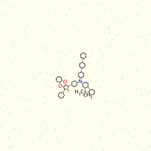 CC1(C)c2ccccc2-c2ccc(N(c3ccc(-c4ccc(-c5ccccc5)cc4)cc3)c3ccc(-c4sc(-c5ccccc5)c5c4Oc4ccccc4O5)cc3)cc21